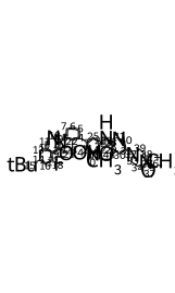 Cn1cc(-c2cccc(-n3ncc4cc(C(C)(C)C)cc(F)c4c3=O)c2CO)cc(Nc2ccc(N3CC[N+](C)([O-])CC3)cn2)c1=O